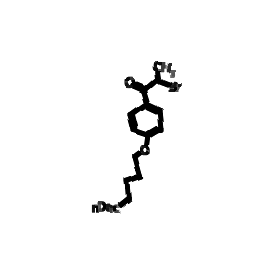 CCCCCCCCCCCCCCOc1ccc(C(=O)C(C)Br)cc1